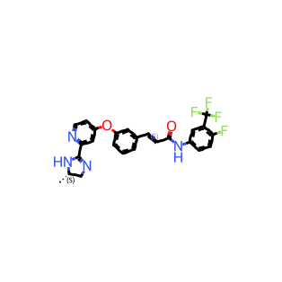 C[C@H]1CN=C(c2cc(Oc3cccc(/C=C/C(=O)Nc4ccc(F)c(C(F)(F)F)c4)c3)ccn2)N1